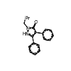 CC(C)Cn1[nH]c(-c2ccccc2)c(-c2ccccc2)c1=O